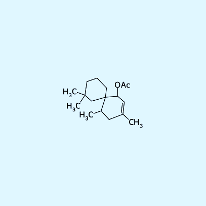 CC(=O)OC1C=C(C)CC(C)C12CCCC(C)(C)C2